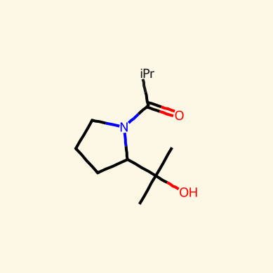 CC(C)C(=O)N1CCCC1C(C)(C)O